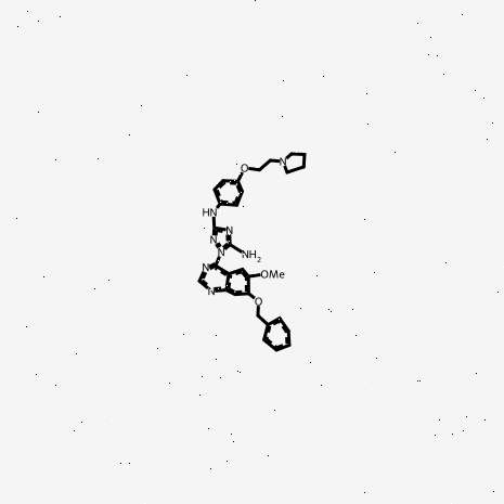 COc1cc2c(-n3nc(Nc4ccc(OCCN5CCCC5)cc4)nc3N)ncnc2cc1OCc1ccccc1